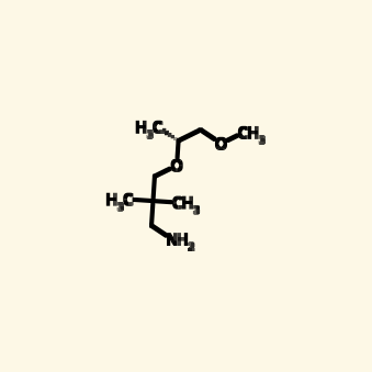 COC[C@@H](C)OCC(C)(C)CN